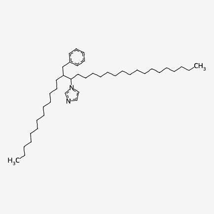 CCCCCCCCCCCCCCCCCC(C(CCCCCCCCCCCCC)Cc1ccccc1)n1ccnc1